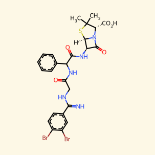 CC1(C)S[C@@H]2[C@H](NC(=O)C(NC(=O)CNC(=N)c3ccc(Br)c(Br)c3)c3ccccc3)C(=O)N2[C@H]1C(=O)O